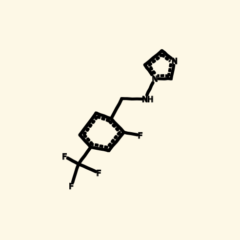 Fc1cc(C(F)(F)F)ccc1CNn1ccnc1